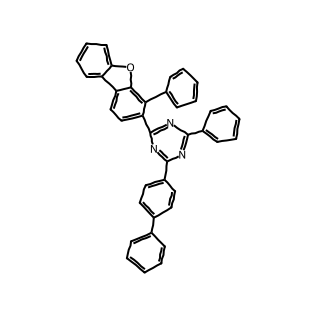 c1ccc(-c2ccc(-c3nc(-c4ccccc4)nc(-c4ccc5c(oc6ccccc65)c4-c4ccccc4)n3)cc2)cc1